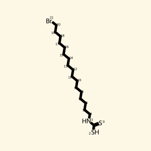 S=C(S)NCCCCCCCCCCCCCCCCCBr